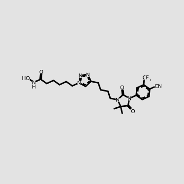 CC1(C)C(=O)N(c2ccc(C#N)c(C(F)(F)F)c2)C(=O)N1CCCCc1cn(CCCCCC(=O)NO)nn1